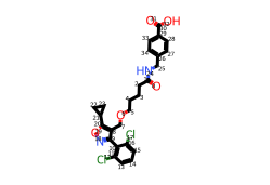 O=C(CCCCOCc1c(-c2c(Cl)cccc2Cl)noc1C1CC1)NCc1ccc(C(=O)O)cc1